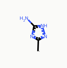 [CH2]c1n[nH]c(N)n1